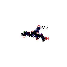 COC(=O)N1CCC(c2noc(-c3ccn4c(C5OCC5n5ncc6ccc(-c7nc(N8CCN(C(=O)C9CCC9)CC(F)(F)C8)no7)cc65)nc(C(C)Cc5nn(C6COC6)c6cc(-c7noc(C8CCN(C(O)C9CCC9)CC8)n7)ccc56)c4c3)n2)CC1